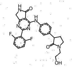 O=C1NCc2nc(-c3c(F)cccc3F)nc(Nc3ccc(C4CCN(CCO)C4=O)cc3)c21